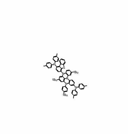 Cc1ccc(N(c2ccc(C)cc2)c2ccc3c(c2)N(c2ccc(C(C)(C)C)cc2)c2cc(C(C)(C)C)cc4c2B3c2cc(C(C)(C)C)ccc2N4c2ccc(N(c3ccc(C)cc3)c3ccc(C)cc3)c3c2sc2ccccc23)cc1